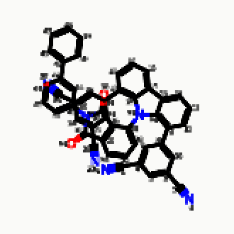 N#Cc1cc(C#N)cc(-c2cccc3c4cccc(-c5cc(C#N)cc(C#N)c5)c4n(-c4cccc5c4C(=O)N(c4cccc(-c6ccccc6)c4)C5=O)c23)c1